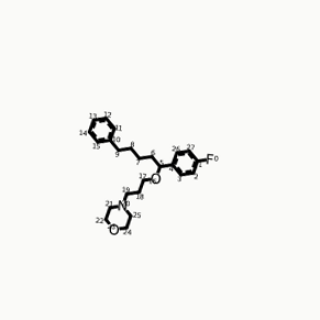 Fc1ccc(C(CCCCc2ccccc2)OCCCN2CCOCC2)cc1